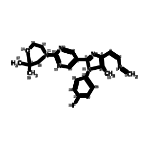 C=N/C=C\c1nc(-c2cnc(N3CCOC(C)(C)C3)nc2)n(-c2ccc(F)cc2)c1C